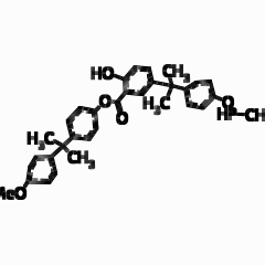 COc1ccc(C(C)(C)c2ccc(OC(=O)c3cc(C(C)(C)c4ccc(OPC)cc4)ccc3O)cc2)cc1